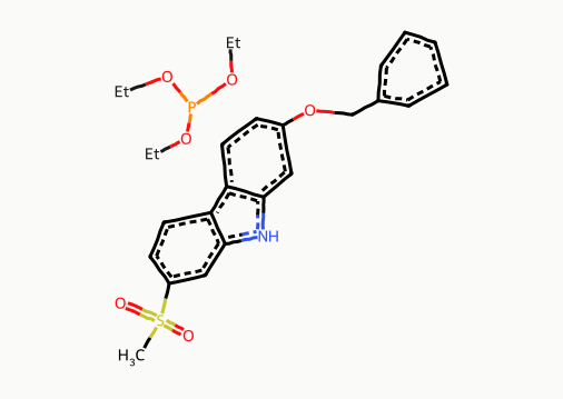 CCOP(OCC)OCC.CS(=O)(=O)c1ccc2c(c1)[nH]c1cc(OCc3ccccc3)ccc12